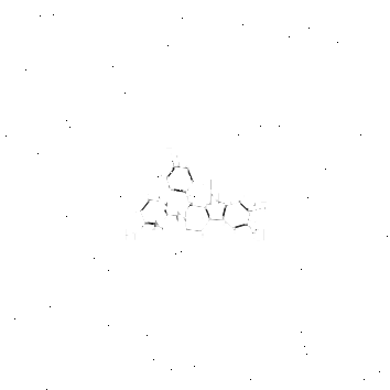 CC(C)c1ccnc(N2CCc3c([nH]c4cc(F)c(Cl)cc34)C2c2ccc(F)cc2)n1